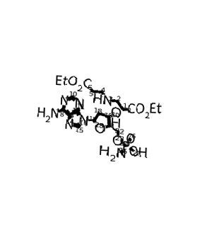 CCOC(=O)CCNCCC(=O)OCC.Nc1ncnc2c1ncn2[C@H]1C[C@H](O)[C@@H](COP(N)(=O)O)O1